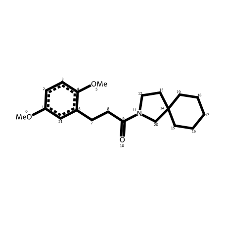 COc1ccc(OC)c(CCC(=O)N2CCC3(CCCCC3)C2)c1